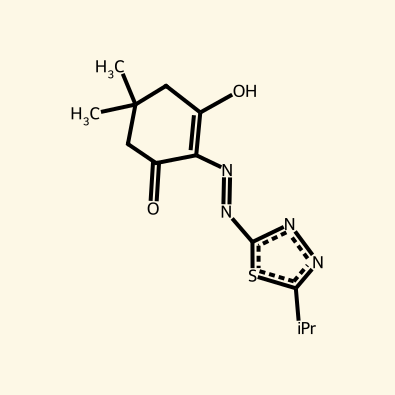 CC(C)c1nnc(N=NC2=C(O)CC(C)(C)CC2=O)s1